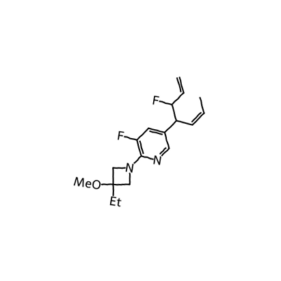 C=CC(F)C(/C=C\C)c1cnc(N2CC(CC)(OC)C2)c(F)c1